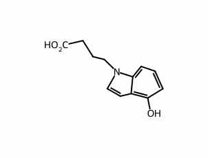 O=C(O)CCCn1ccc2c(O)cccc21